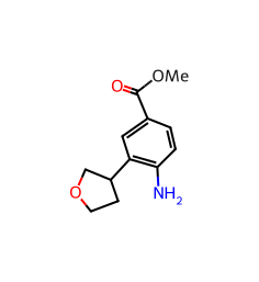 COC(=O)c1ccc(N)c(C2CCOC2)c1